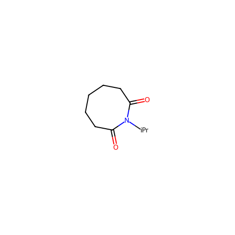 CC(C)N1C(=O)CCCCCC1=O